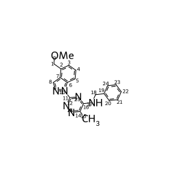 COCc1cccc2c1cnn2-c1nnc(C)c(NCc2ccccc2)n1